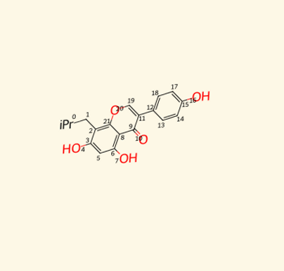 CC(C)Cc1c(O)cc(O)c2c(=O)c(-c3ccc(O)cc3)coc12